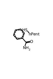 CCCCCS.NC(=O)c1ccccc1